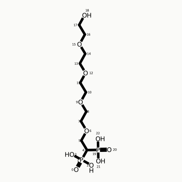 O=P(O)(O)C(COCCOCCOCCOCCO)P(=O)(O)O